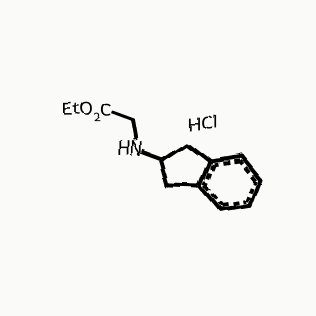 CCOC(=O)CNC1Cc2ccccc2C1.Cl